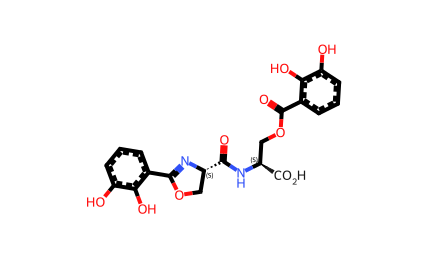 O=C(OC[C@H](NC(=O)[C@@H]1COC(c2cccc(O)c2O)=N1)C(=O)O)c1cccc(O)c1O